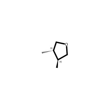 C[C@@H]1COC[C@H]1C